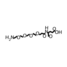 NCCOCCOCCOCCOCCC(=O)NC(C=O)CCC(=O)O